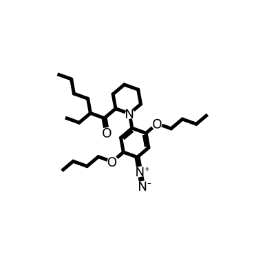 CCCCOC1=CC(=[N+]=[N-])C(OCCCC)C=C1N1CCCCC1C(=O)C(CC)CCCC